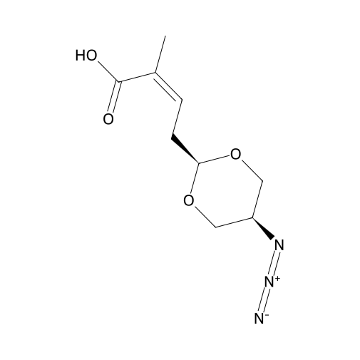 CC(=CC[C@H]1OC[C@@H](N=[N+]=[N-])CO1)C(=O)O